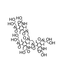 CN(CCCN(CCCN(C)C(=O)c1c(I)c(NC(=O)CO)c(I)c(C(=O)N(C)CC(O)CO)c1I)C(=O)c1c(I)c(NC(=O)CO)c(I)c(C(=O)N(C)CC(O)CO)c1I)C(=O)c1c(I)c(NC(=O)CO)c(I)c(C(=O)N(C)CC(O)CO)c1I